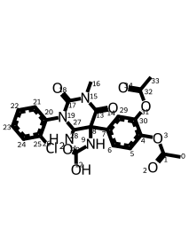 CC(=O)Oc1ccc(C2(NC(=O)O)C(=O)N(C)C(=O)N(c3ccccc3Cl)C2N)cc1OC(C)=O